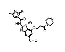 CCCn1c(NC(=O)c2cc(C)nn2CC)nc2cc(C=O)cc(OCCC(=O)N3CCNCC3)c21